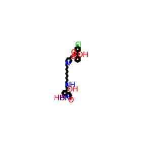 O=C(OCC1CCN(CCCCCCCCCNC[C@@H](O)c2ccc(O)c3[nH]c(=O)ccc23)CC1)C(O)(c1ccccc1)c1ccc(Cl)cc1